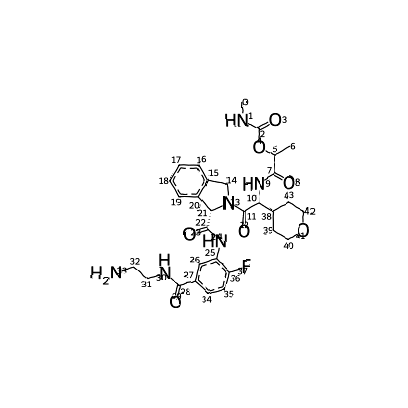 CNC(=O)OC(C)C(=O)NC(C(=O)N1Cc2ccccc2[C@H]1C(=O)Nc1cc(C(=O)NCCN)ccc1F)C1CCOCC1